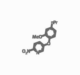 CCCc1ccc(Oc2ccc([N+](=O)[O-])nc2)c(OC)c1